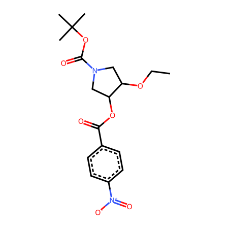 CCOC1CN(C(=O)OC(C)(C)C)CC1OC(=O)c1ccc([N+](=O)[O-])cc1